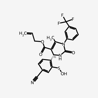 C=CCOC(=O)C1=C(C)N(c2cccc(C(F)(F)F)c2)C(=O)N[C@@H]1c1ccc(C#N)cc1SO